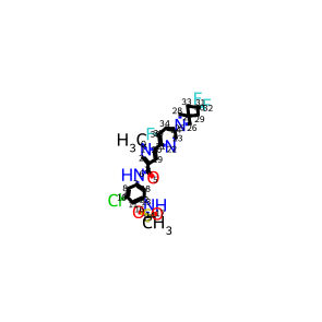 Cn1cc(C(=O)Nc2cc(Cl)cc(NS(C)(=O)=O)c2)cc1-c1ncc(N2CC3(C2)CC(F)(F)C3)cc1F